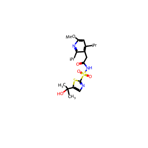 COc1cc(C(C)C)c(CC(=O)NS(=O)(=O)c2ncc(C(C)(C)O)s2)c(C(C)C)n1